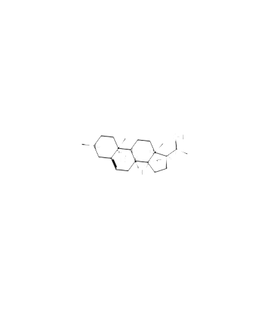 C[C@H]1CC[C@@]2(C)C(=CC[C@H]3[C@@H]4CC[C@H]([C@H](C)O)[C@@]4(C)CC[C@@H]32)C1